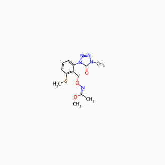 COC(C)=NOCc1c(SC)cccc1-n1nnn(C)c1=O